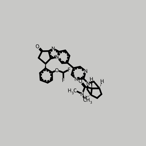 CN(C)C(=O)[C@@H]1[C@@H]2CC[C@H]1CN(c1ncc(-c3ccc4nc5c(n4c3)[C@@H](c3ccccc3OC(F)F)CC5=O)cn1)C2